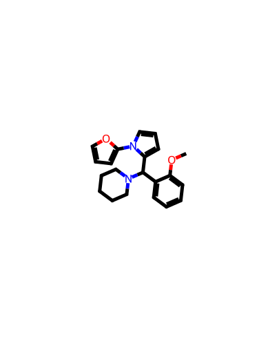 COc1ccccc1C(c1cccn1-c1ccco1)N1CCCCC1